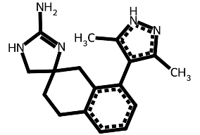 Cc1n[nH]c(C)c1-c1cccc2c1CC1(CC2)CNC(N)=N1